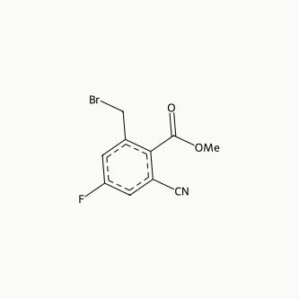 COC(=O)c1c(C#N)cc(F)cc1CBr